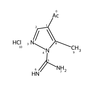 CC(=O)c1cnn(C(=N)N)c1C.Cl